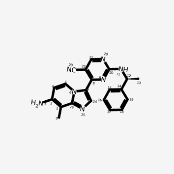 Cc1c(N)ccn2c(-c3nc(N[C@@H](C)c4ccccc4)ncc3C#N)cnc12